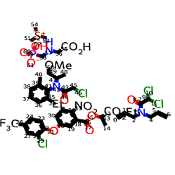 C=CCN(CC=C)C(=O)C(Cl)Cl.CCOC(=O)C(C)OC(=O)c1cc(Oc2ccc(C(F)(F)F)cc2Cl)ccc1[N+](=O)[O-].CCc1cccc(C)c1N(C(=O)CCl)C(C)COC.C[S+](C)C.O=C(O)CNCP(=O)([O-])O